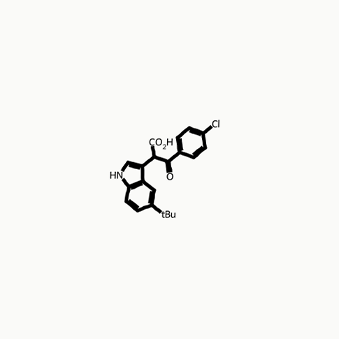 CC(C)(C)c1ccc2[nH]cc(C(C(=O)O)C(=O)c3ccc(Cl)cc3)c2c1